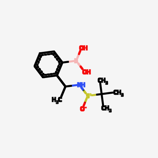 CC(N[S+]([O-])C(C)(C)C)c1ccccc1B(O)O